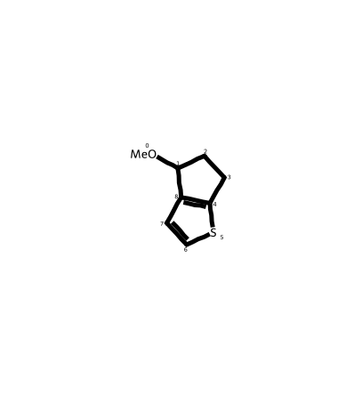 COC1CCc2sccc21